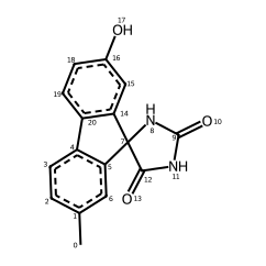 Cc1ccc2c(c1)C1(NC(=O)NC1=O)c1cc(O)ccc1-2